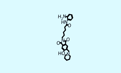 Nc1ccccc1NC(=O)CCCCCN1C(=O)c2cc(O)c(CN3CCCCC3)cc2C1=O